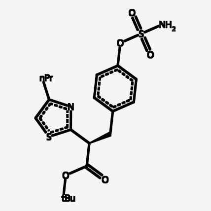 CCCc1csc([C@@H](Cc2ccc(OS(N)(=O)=O)cc2)C(=O)OC(C)(C)C)n1